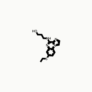 CCSc1ccc2c(c1)nc(NCCCO)c1nccn12